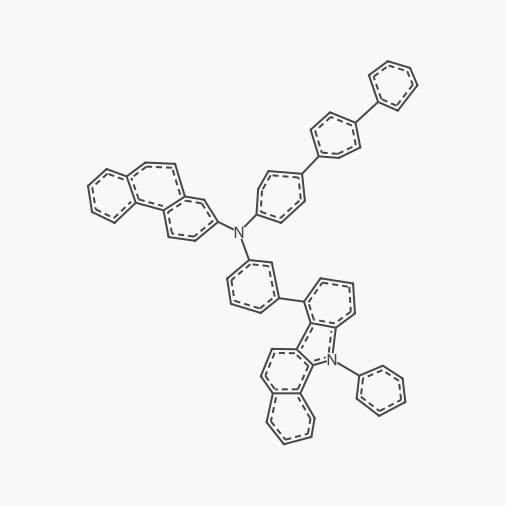 c1ccc(-c2ccc(-c3ccc(N(c4cccc(-c5cccc6c5c5ccc7ccccc7c5n6-c5ccccc5)c4)c4ccc5c(ccc6ccccc65)c4)cc3)cc2)cc1